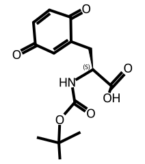 CC(C)(C)OC(=O)N[C@@H](CC1=CC(=O)C=CC1=O)C(=O)O